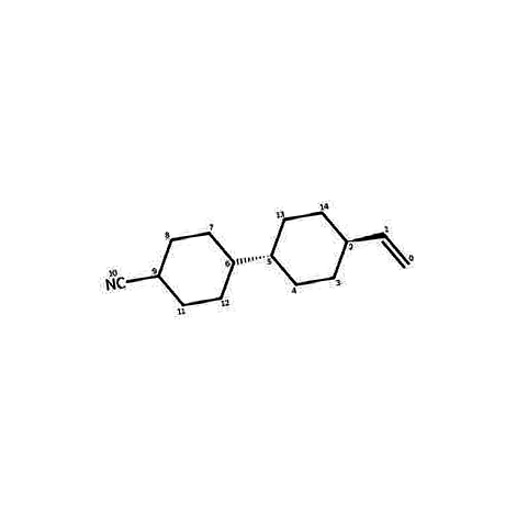 C=C[C@H]1CC[C@H](C2CCC(C#N)CC2)CC1